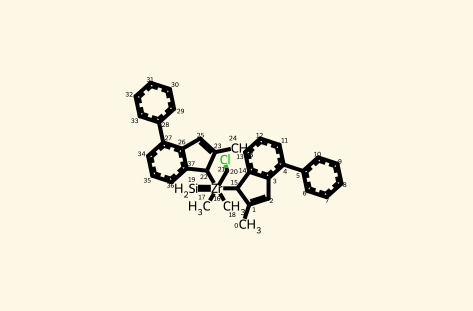 CC1=Cc2c(-c3ccccc3)cccc2[CH]1[Zr]([CH3])([CH3])(=[SiH2])([CH2]Cl)[CH]1C(C)=Cc2c(-c3ccccc3)cccc21